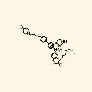 COCCCN1C(=O)COc2ccc(N(C(=O)[C@H]3CNCC[C@@H]3c3cccc(-c4ccc(OCCCN5CCC(O)CC5)cc4)c3)C3CC3)cc21